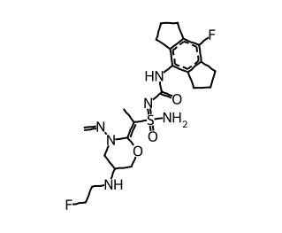 C=NN1CC(NCCF)CO/C1=C(/C)S(N)(=O)=NC(=O)Nc1c2c(c(F)c3c1CCC3)CCC2